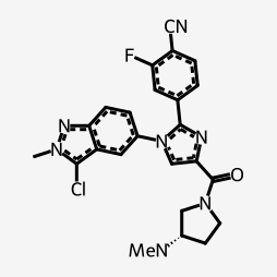 CN[C@H]1CCN(C(=O)c2cn(-c3ccc4nn(C)c(Cl)c4c3)c(-c3ccc(C#N)c(F)c3)n2)C1